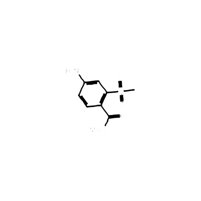 COC(=O)c1ccc(N)cc1S(C)(=O)=O